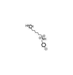 O=S(=O)(CCCCCCc1c[nH]cn1)NCc1ccc(Cl)cc1